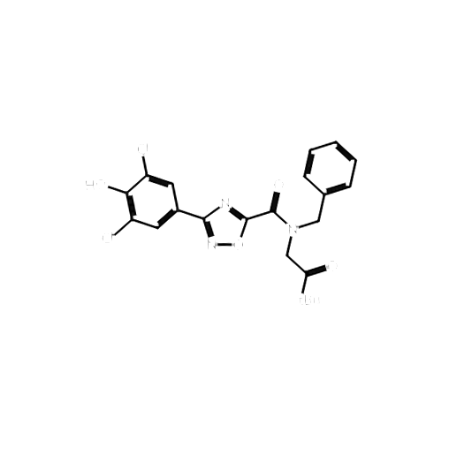 CC(C)(C)C(=O)CN(Cc1ccccc1)C(=O)c1nc(-c2cc(Cl)c(O)c(Cl)c2)no1